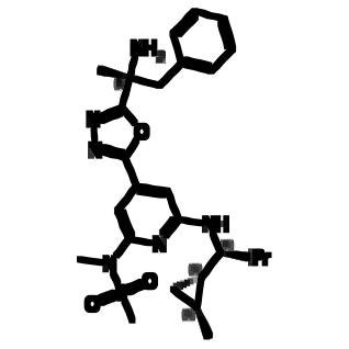 CC(C)[C@H](Nc1cc(-c2nnc([C@](C)(N)Cc3ccccc3)o2)cc(N(C)S(C)(=O)=O)n1)[C@H]1C[C@@H]1C